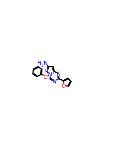 NC1=N[N+]2(Oc3ccccc3)C=NC(c3ccco3)=NC2=C1